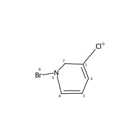 ClC1=CC=CN(Br)C1